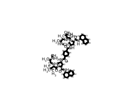 CN[C@@H](C)CN[C@H](C(=O)N1C[C@@H](NC(=O)c2ccc(C(=O)N[C@H]3C[C@@H](C(=O)N[C@@H]4CCCc5ccccc54)N(C(=O)[C@@H](NC[C@H](C)NC)C(C)(C)C)C3)cc2)C[C@H]1C(=O)N[C@@H]1CCCc2ccccc21)C(C)(C)C